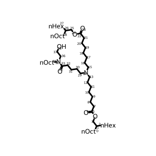 CCCCCCCCC(CCCCCC)COC(=O)CCCCCCCN(CCCCCCCC(=O)OCC(CCCCCC)CCCCCCCC)CCCCC(=O)N(CCO)CCCCCCCC